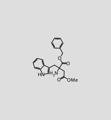 COC(=O)CC(N)(Cc1c[nH]c2ccccc12)C(=O)OCc1ccccc1